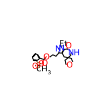 CCn1nc(CCCOC(=O)c2ccccc2S(C)(=O)=O)c2c1C(=O)NCC1(CCOCC1)C2